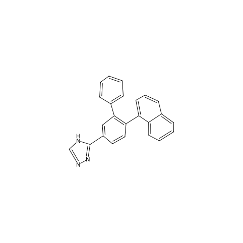 c1ccc(-c2cc(-c3nnc[nH]3)ccc2-c2cccc3ccccc23)cc1